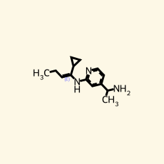 CC/C=C(/Nc1cc(C(C)N)ccn1)C1CC1